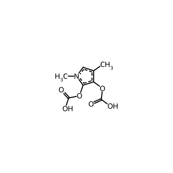 Cc1cn(C)c(OC(=O)O)c1OC(=O)O